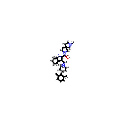 Cc1cccc(C)c1C1CCN(Cc2c(C(=O)N3CCC4(CCN(C)C4)C3)[nH]c3ccccc23)CC1